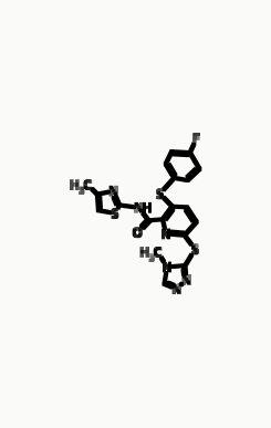 Cc1csc(NC(=O)c2nc(Sc3nncn3C)ccc2Sc2ccc(F)cc2)n1